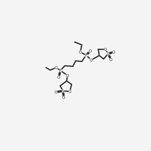 CCOP(=O)(CCCCP(=O)(OCC)OC1COS(=O)(=O)C1)OC1COS(=O)(=O)C1